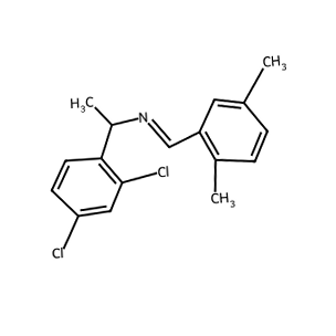 Cc1ccc(C)c(C=NC(C)c2ccc(Cl)cc2Cl)c1